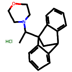 CC(N1CCOCC1)C12CC(c3ccccc31)c1ccccc12.Cl